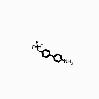 Nc1ccc(-c2ccc(SC(F)(F)F)cc2)cc1